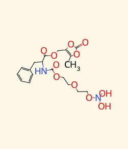 Cc1oc(=O)oc1COC(=O)C(Cc1ccccc1)NC(=O)OCCOCCON(O)O